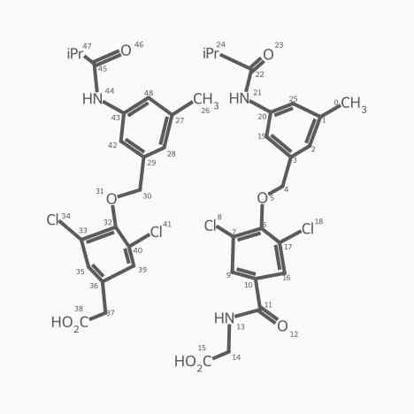 Cc1cc(COc2c(Cl)cc(C(=O)NCC(=O)O)cc2Cl)cc(NC(=O)C(C)C)c1.Cc1cc(COc2c(Cl)cc(CC(=O)O)cc2Cl)cc(NC(=O)C(C)C)c1